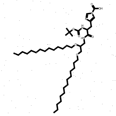 CCCCCCCCCCCCCCOCC(CNC(=O)C(Cc1cn(C(=O)O)cn1)NC(=O)OC(C)(C)C)OCCCCCCCCCCCCCC